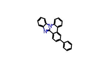 c1ccc(-c2ccc3c(c2)c2ccccc2n2c4ccccc4nc32)cc1